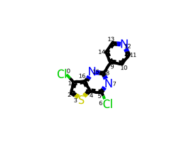 Clc1csc2c(Cl)nc(-c3ccncc3)nc12